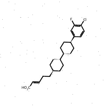 O=C(O)/C=C/CC[C@H]1CC[C@H]([C@H]2CC[C@H](c3ccc(Cl)c(F)c3)CC2)CC1